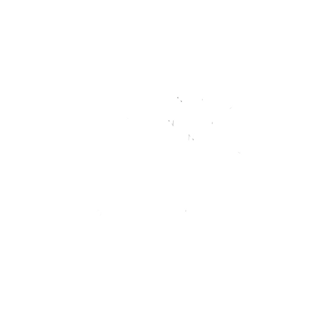 COc1ccc(CN2N(c3cc4ccccc4s3)NOC23CC2CCC3CC2)c(OC)c1